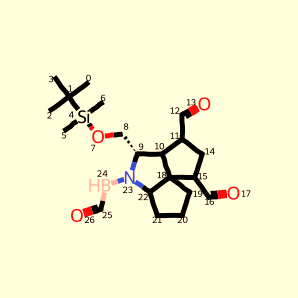 CC(C)(C)[Si](C)(C)OC[C@@H]1C2C(C=O)CC(C=O)C23CCCC3N1BC=O